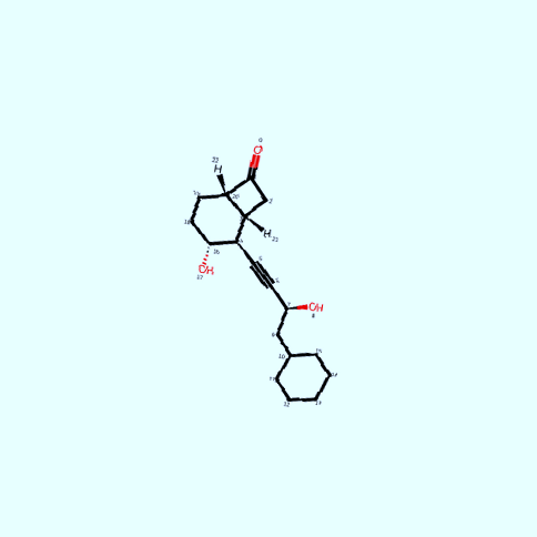 O=C1C[C@@H]2[C@@H](C#C[C@@H](O)CC3CCCCC3)[C@H](O)CC[C@H]12